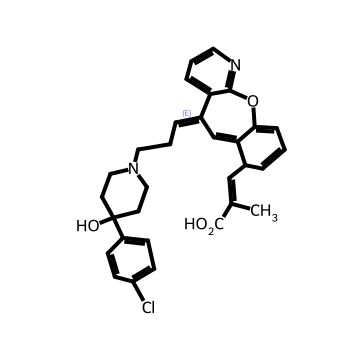 CC(=CC1C=CC=C2Oc3ncccc3/C(=C/CCN3CCC(O)(c4ccc(Cl)cc4)CC3)C=C21)C(=O)O